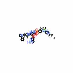 CC(C)c1ccccc1C1CCCN1C1CC2(CCN(c3cc(Oc4cnc5[nH]ccc5c4)c(C(=O)NS(=O)(=O)c4ccc(NCC5(F)CCN(CC(F)(F)F)CC5)c(N=O)c4)cn3)CC2)C1